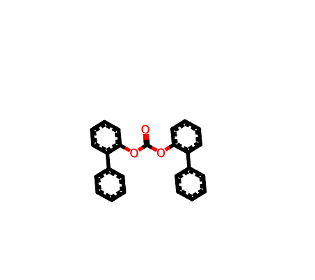 O=C(Oc1ccccc1-c1ccccc1)Oc1ccccc1-c1ccccc1